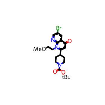 COCCn1c(C2CCN(C(=O)OC(C)(C)C)CC2)cc(=O)c2cc(Br)cnc21